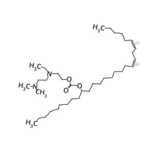 CCCCC/C=C\C/C=C\CCCCCCCCC(CCCCCCCCC)OC(=O)OCCN(CC)CCN(C)C